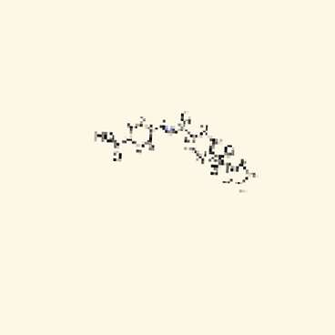 O=C(O)c1ccc(/C=C/C(=O)c2ccc(S(=O)(=O)N3CCCC3)cc2)cc1